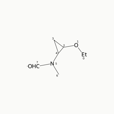 CCOC1CC1N(C)[C]=O